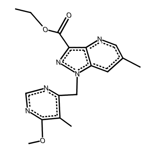 CCOC(=O)c1nn(Cc2ncnc(OC)c2C)c2cc(C)cnc12